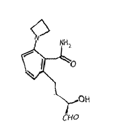 NC(=O)c1c(C[CH][C@@H](O)C=O)cccc1N1CCC1